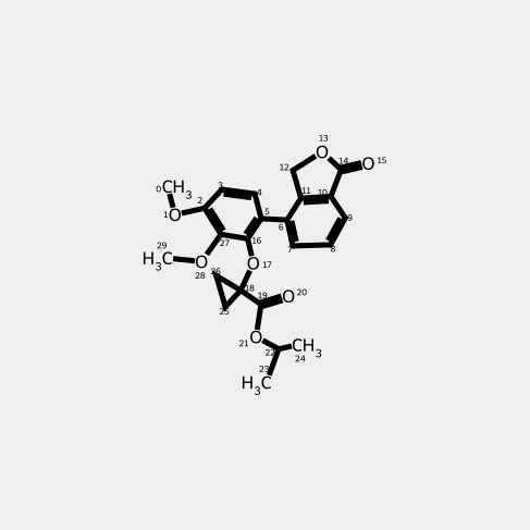 COc1ccc(-c2cccc3c2COC3=O)c(OC2(C(=O)OC(C)C)CC2)c1OC